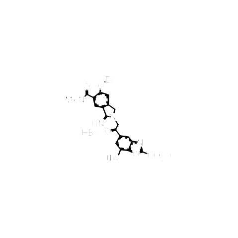 Br.CCOC(=O)c1nc2cc(C(=O)CN3Cc4cc(OCC)c(C(=O)NC)cc4C3=N)cc(C(C)(C)C)c2o1